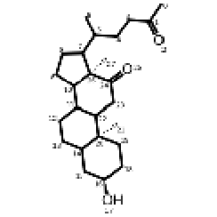 CC(=O)CCC(C)C1CCC2C3CCC4C[C@H](O)CC[C@]4(C)C3CC(=O)[C@]12C